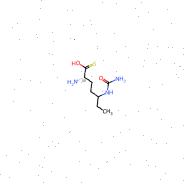 CCC(CC[C@H](N)C(O)=S)NC(N)=O